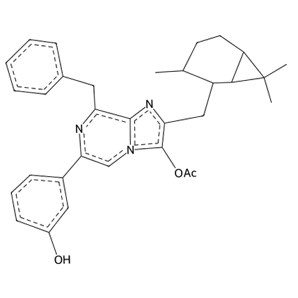 CC(=O)Oc1c(CC2C(C)CCC3C2C3(C)C)nc2c(Cc3ccccc3)nc(-c3cccc(O)c3)cn12